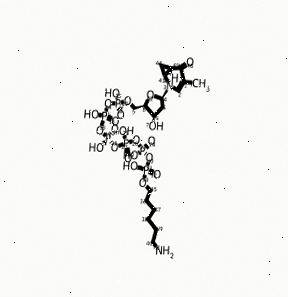 CC1=CN([C@H]2C[C@@H](O)[C@@H](COP(=O)(O)OP(=O)(O)OP(=O)(O)OP(=O)(O)OP(=O)(O)OP(=O)(O)OCCCCCCN)O2)C2CC2(C)C1=O